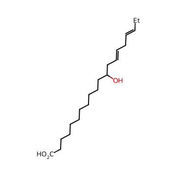 CCC=CCC=CCC(O)CCCCCCCCCCC(=O)O